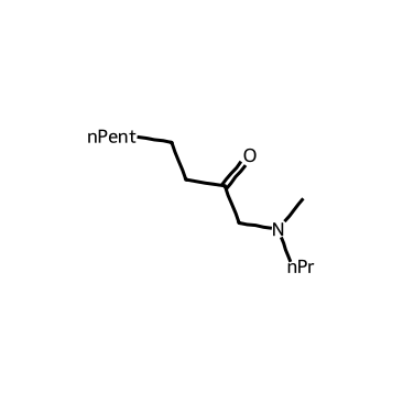 CCCCCCCC(=O)CN(C)CCC